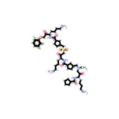 CN(CC(=O)[C@H](CCCCN)NC(=O)C1CCCC1)CC1CCC(C(=O)N[C@@H](CCCCN)C(=O)CS(=O)(=O)CC2CCC(C(=O)N[C@H](CCCCN)C(=O)COc3c(F)ccc(F)c3F)C2)C1